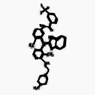 Cc1ccc(NC(=O)c2cccc(C(F)(F)F)c2)cc1N(c1nc2ccccc2[nH]1)c1ncnc(NCCN2CCN(C)CC2)c1C